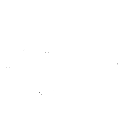 CCOC(=O)c1c[nH]c2ccc(Cc3ccccc3Cl)cc2c1=O